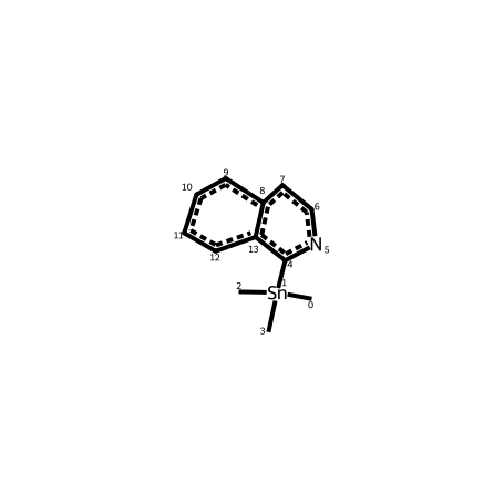 [CH3][Sn]([CH3])([CH3])[c]1nccc2ccccc12